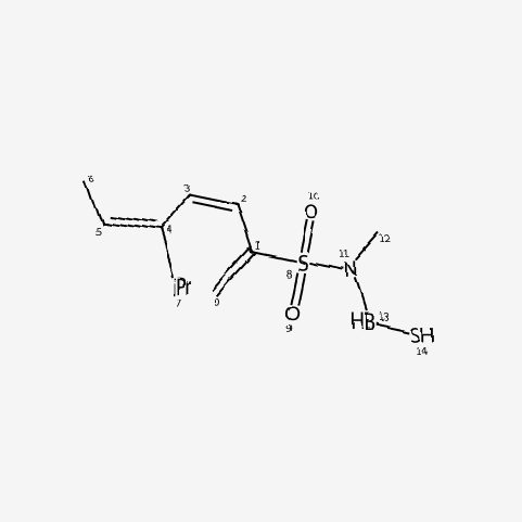 C=C(/C=C\C(=C/C)C(C)C)S(=O)(=O)N(C)BS